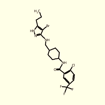 CCCc1[nH]nc(NCC2CCC(NC(=O)c3cc(C(F)(F)F)ccc3Cl)CC2)c1Br